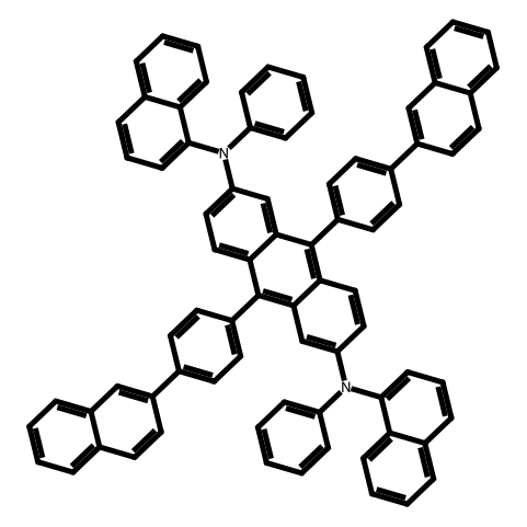 c1ccc(N(c2ccc3c(-c4ccc(-c5ccc6ccccc6c5)cc4)c4cc(N(c5ccccc5)c5cccc6ccccc56)ccc4c(-c4ccc(-c5ccc6ccccc6c5)cc4)c3c2)c2cccc3ccccc23)cc1